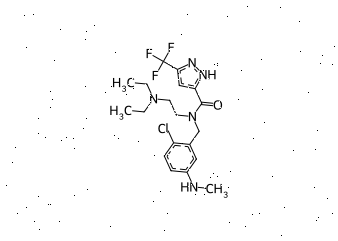 CCN(CC)CCN(Cc1cc(NC)ccc1Cl)C(=O)c1cc(C(F)(F)F)n[nH]1